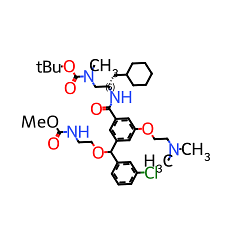 COC(=O)NCCOC(c1cccc(Cl)c1)c1cc(OCCN(C)C)cc(C(=O)N[C@@H](CC2CCCCC2)CN(C)C(=O)OC(C)(C)C)c1